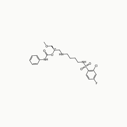 COC[C@@H](CNCCCCNS(=O)(=O)c1ccc(F)cc1Cl)OC(=O)Nc1ccccc1